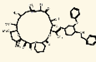 CCC1/C=C(\C)CC(C)CC(OC)C2OC(O)(C(=O)C(=O)N3CCCCC3C(=O)OC(C(C)=CC3CCC(NCc4ccccc4)C(Oc4ccccc4)C3)C(C)C(O)CC1=O)C(C)CC2OC